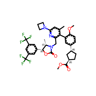 COC(=O)[C@@H]1CC[C@@H](c2ccc(OC)c(-c3c(C)cc(N4CCC4)nc3CN3C(=O)O[C@H](c4cc(C(F)(F)F)cc(C(F)(F)F)c4)[C@@H]3C)c2)C1